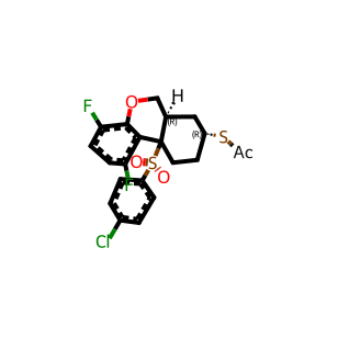 CC(=O)S[C@@H]1CCC2(S(=O)(=O)c3ccc(Cl)cc3)c3c(F)ccc(F)c3OC[C@H]2C1